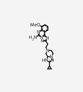 COc1cccc2c1nc(N)n1nc(CCN3CCN4N=C(C5CC5)NC4C3)nc21